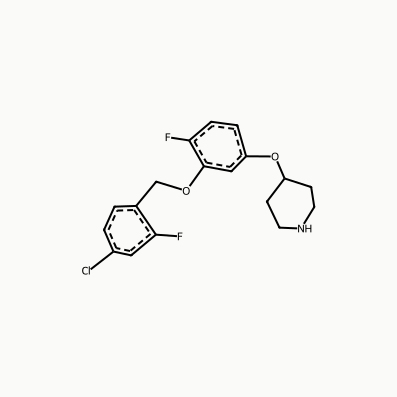 Fc1cc(Cl)ccc1COc1cc(OC2CCNCC2)ccc1F